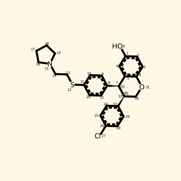 Oc1ccc2c(c1)[C@H](c1ccc(SCCN3CCCC3)cc1)[C@H](c1ccc(Cl)cc1)CO2